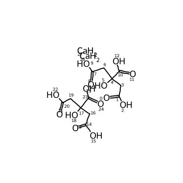 O=C(O)CC(O)(CC(=O)O)C(=O)O.O=C(O)CC(O)(CC(=O)O)C(=O)O.[CaH2].[CaH2]